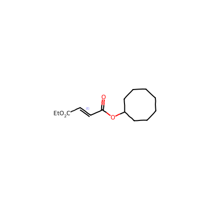 CCOC(=O)/C=C/C(=O)OC1CCCCCCC1